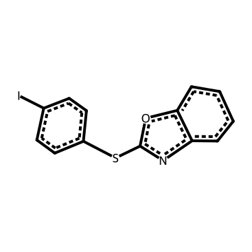 Ic1ccc(Sc2nc3ccccc3o2)cc1